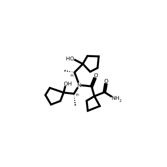 C[C@@H](N(C(=O)C1(C(N)=O)CCC1)[C@H](C)C1(O)CCCC1)C1(O)CCCC1